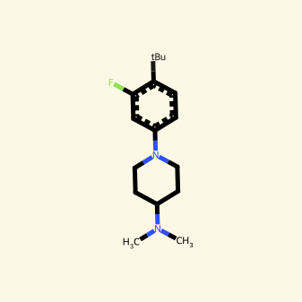 CN(C)C1CCN(c2ccc(C(C)(C)C)c(F)c2)CC1